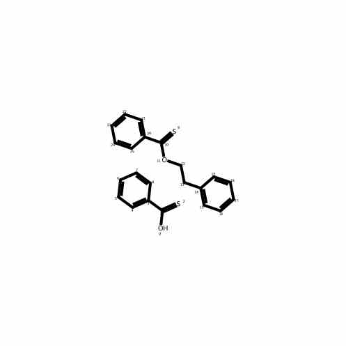 OC(=S)c1ccccc1.S=C(OCCc1ccccc1)c1ccccc1